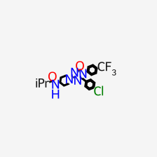 CC(C)C(=O)NC1CCN(c2nc(-c3ccc(Cl)cc3)n(-c3ccc(C(F)(F)F)cc3)c(=O)n2)CC1